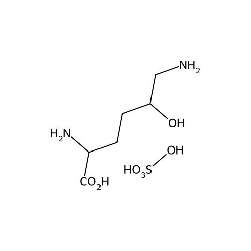 NCC(O)CCC(N)C(=O)O.O=S(=O)(O)O